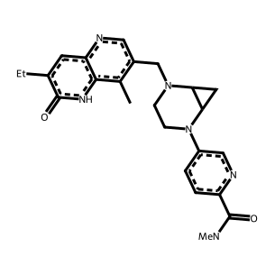 CCc1cc2ncc(CN3CCN(c4ccc(C(=O)NC)nc4)C4CC43)c(C)c2[nH]c1=O